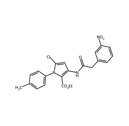 CCOC(=O)c1c(NC(=O)Cc2cccc([N+](=O)[O-])c2)cc(Cl)n1-c1ccc(C)cc1